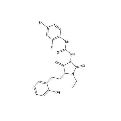 CCN1C(=O)N(NC(=O)Nc2ccc(Br)cc2F)C(=O)C1CCc1ccccc1O